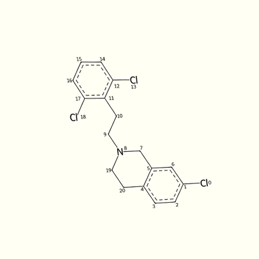 Clc1ccc2c(c1)CN(CCc1c(Cl)cccc1Cl)CC2